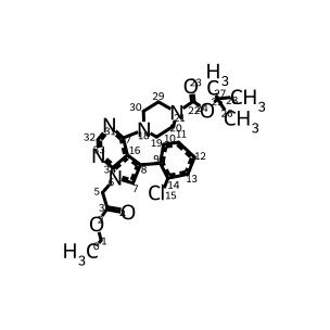 CCOC(=O)Cn1cc(-c2ccccc2Cl)c2c(N3CCN(C(=O)OC(C)(C)C)CC3)ncnc21